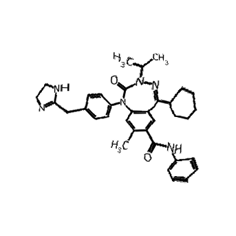 Cc1cc2c(cc1C(=O)Nc1ccccc1)C(C1CCCCC1)=NN(C(C)C)C(=O)N2c1ccc(CC2=NCCN2)cc1